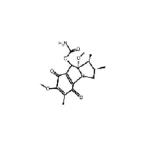 COC1=C(C)C(=O)C2=C(C1=O)[C@@H](OC(N)=O)[C@@]1(OC)[C@@H](C)[C@@H](C)CN21